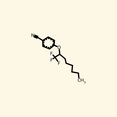 CCCCCCC(Oc1ccc(C#N)cc1)C(F)(F)F